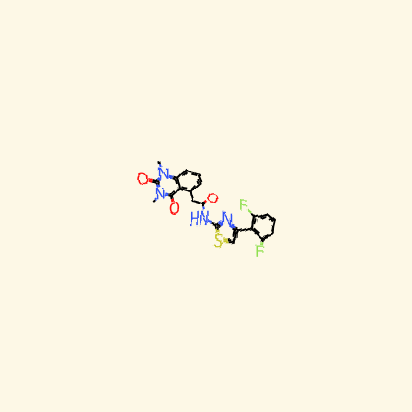 Cn1c(=O)c2c(CC(=O)Nc3nc(-c4c(F)cccc4F)cs3)cccc2n(C)c1=O